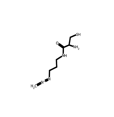 C=[N+]=NCCCNC(=O)C(N)CS